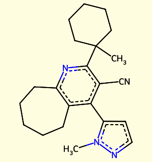 Cn1nccc1-c1c(C#N)c(C2(C)CCCCC2)nc2c1CCCCC2